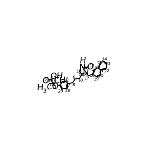 CC(C)(Oc1ccc(CCCC2CNC(=O)N2Cc2ccc3ccccc3c2)cc1)C(=O)O